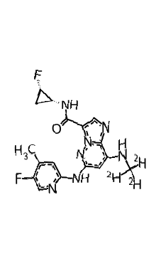 [2H]C([2H])([2H])Nc1cc(Nc2cc(C)c(F)cn2)nn2c(C(=O)N[C@@H]3C[C@@H]3F)cnc12